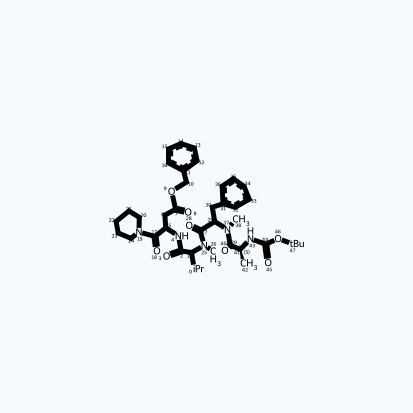 CC(C)C(C(=O)NC(CC(=O)OCc1ccccc1)C(=O)N1CCCCC1)N(C)C(=O)C(Cc1ccccc1)N(C)C(=O)[C@H](C)NC(=O)OC(C)(C)C